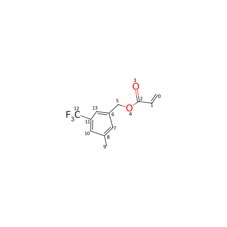 C=CC(=O)OCc1cc(C)cc(C(F)(F)F)c1